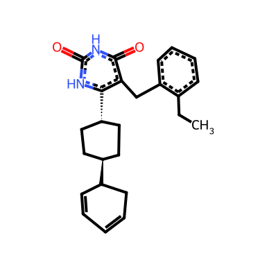 CCc1ccccc1Cc1c(=O)[nH]c(=O)[nH]c1[C@H]1CC[C@H](C2C=CC=CC2)CC1